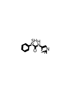 O=C(Nc1cnns1)N(S)c1ccccc1